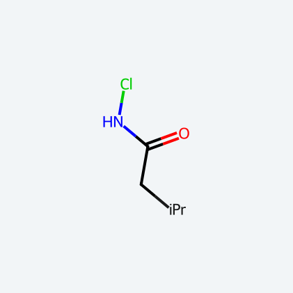 CC(C)CC(=O)NCl